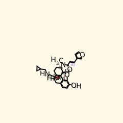 CN(C(=O)/C=C/c1ccoc1)[C@@H]1CC[C@@]2(O)[C@H]3Cc4ccc(O)c5c4C2(CCC3NCC2CC2)[C@H]1O5